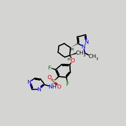 CCn1nccc1[C@H]1CCCC[C@@]1(C)Oc1cc(F)c(S(=O)(=O)Nc2ccncn2)c(F)c1